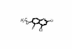 COc1ccc2nc(Cl)cc(Cl)c2c1F